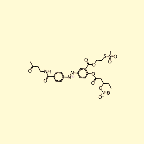 CCC(CC(=O)Oc1ccc(/N=N/c2ccc(C(=O)NCCC(C)=O)cc2)cc1C(=O)OCCSS(C)(=O)=O)O[N+](=O)[O-]